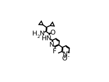 Cc1c(-c2ccc(NC(=O)C(N)=C(C3CC3)C3CC3)nc2F)ccc[n+]1[O-]